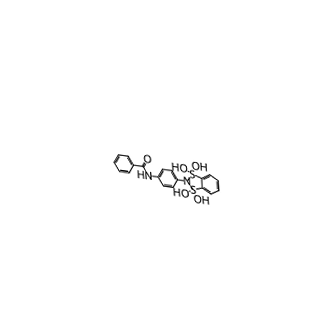 O=C(Nc1ccc(N2S(O)(O)c3ccccc3S2(O)O)cc1)c1ccccc1